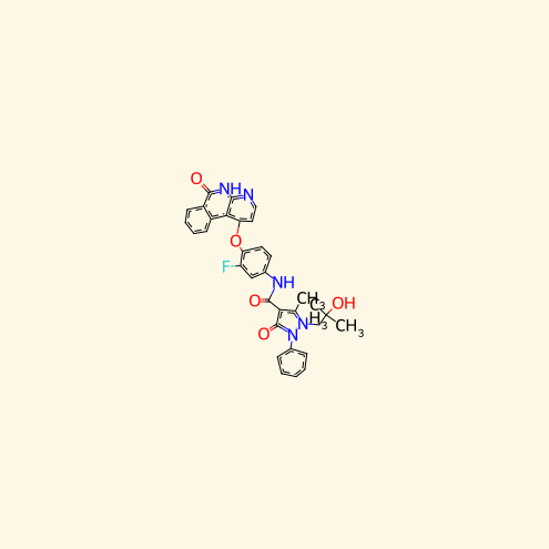 Cc1c(C(=O)Nc2ccc(Oc3ccnc4[nH]c(=O)c5ccccc5c34)c(F)c2)c(=O)n(-c2ccccc2)n1CC(C)(C)O